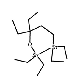 CCC1(CC)C[CH2][Sn]([CH2]C)([CH2]C)[Sn]([CH2]C)([CH2]C)[O]1